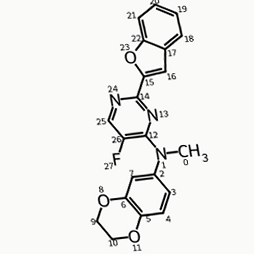 CN(c1ccc2c(c1)OCCO2)c1nc(-c2cc3ccccc3o2)ncc1F